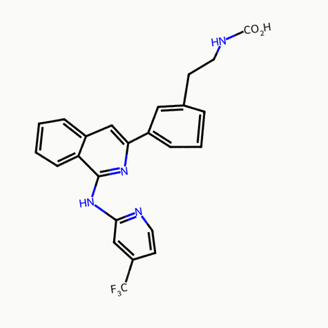 O=C(O)NCCc1cccc(-c2cc3ccccc3c(Nc3cc(C(F)(F)F)ccn3)n2)c1